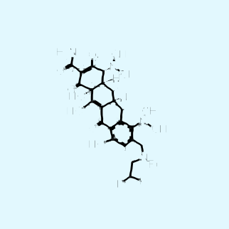 CCN(Cc1cc(O)c2c(c1N(C)C)C[C@H]1C[C@H]3[C@H](N(C)C)C(O)=C(C(N)=O)C(=O)[C@@]3(O)C(O)=C1C2=O)CC(F)F